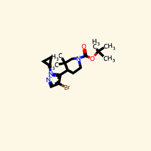 CC(C)(C)OC(=O)N1CCC(c2c(Br)cnn2C2CC2)C(C)(C)C1